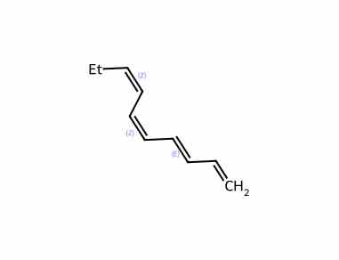 C=C/C=C/C=C\C=C/CC